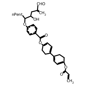 C=CC(=O)OC1=CC=C(C2=CC=C(OC(=O)c3ccc(OC(CCCCC)C(O)CC(=C)C=O)cc3)CC2)CC1